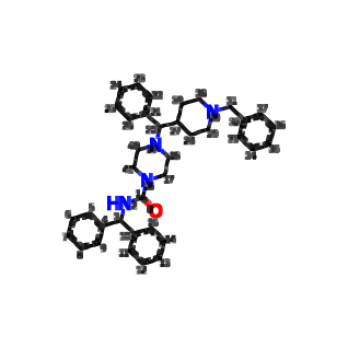 O=C(NC(c1ccccc1)c1ccccc1)N1CCN(C(c2ccccc2)C2CCN(Cc3ccccc3)CC2)CC1